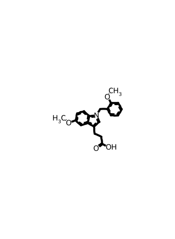 COc1ccc2c(c1)c(CCC(=O)O)cn2Cc1ccccc1OC